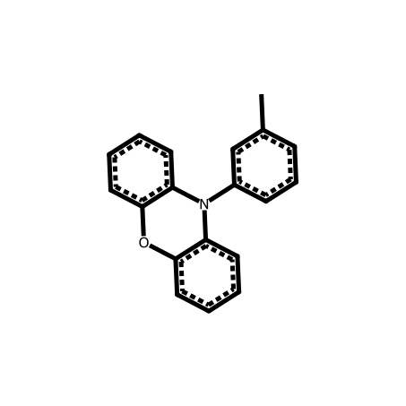 Cc1cccc(N2c3ccccc3Oc3ccccc32)c1